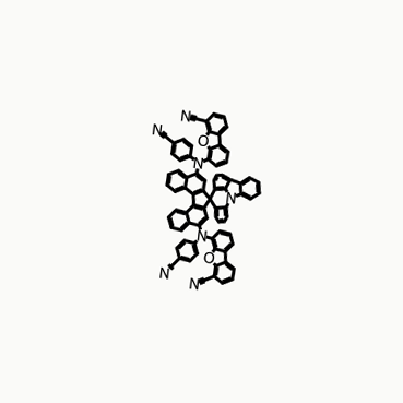 N#Cc1ccc(N(c2cc3c(c4ccccc24)-c2c(cc(N(c4ccc(C#N)cc4)c4cccc5c4oc4c(C#N)cccc45)c4ccccc24)C32c3ccccc3-n3c4ccccc4c4cccc2c43)c2cccc3c2oc2c(C#N)cccc23)cc1